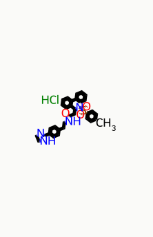 Cc1ccc(S(=O)(=O)N2c3ccccc3-c3ccccc3C2CC(=O)NCCc2ccc(C3=NCCN3)cc2)cc1.Cl